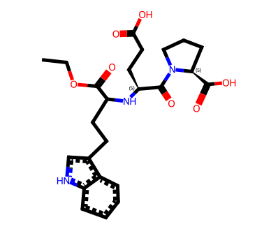 CCOC(=O)C(CCc1c[nH]c2ccccc12)N[C@@H](CCC(=O)O)C(=O)N1CCC[C@H]1C(=O)O